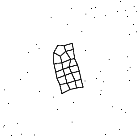 C1C2C3C4C5C6CC7C8CC9C%10C%11C%12C%13CC1C%131C2C32C%121C%111C%103C89C76C53C421